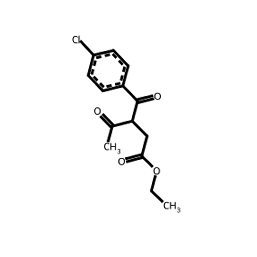 CCOC(=O)CC(C(C)=O)C(=O)c1ccc(Cl)cc1